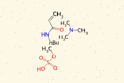 C=CC(=O)NCCCC.CN(C)C.COS(=O)(=O)O